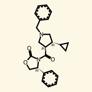 O=C1OC[C@@H](c2ccccc2)N1C(=O)[C@H]1CN(Cc2ccccc2)C[C@@H]1C1CC1